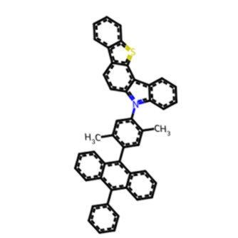 Cc1cc(-n2c3ccccc3c3c4sc5ccccc5c4ccc32)c(C)cc1-c1c2ccccc2c(-c2ccccc2)c2ccccc12